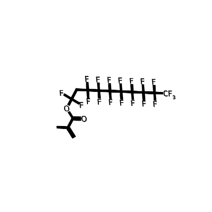 C=C(C)C(=O)OC(F)(F)CC(F)(F)C(F)(F)C(F)(F)C(F)(F)C(F)(F)C(F)(F)C(F)(F)C(F)(F)F